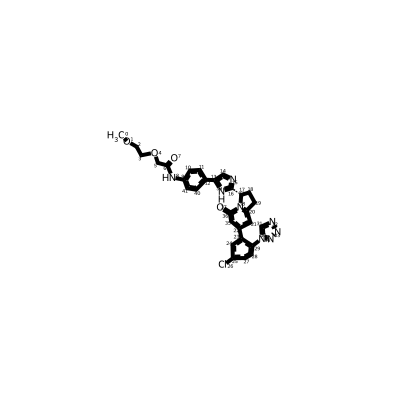 COCCOCC(=O)Nc1ccc(-c2cnc([C@@H]3CCc4cc(-c5cc(Cl)ccc5-n5cnnn5)cc(=O)n43)[nH]2)cc1